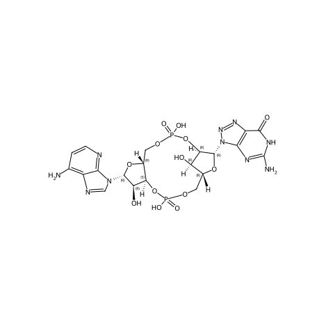 Nc1nc2c(nnn2[C@@H]2O[C@@H]3COP(=O)(O)O[C@H]4[C@@H](O)[C@H](n5cnc6c(N)ccnc65)O[C@@H]4COP(=O)(O)O[C@@H]2[C@@H]3O)c(=O)[nH]1